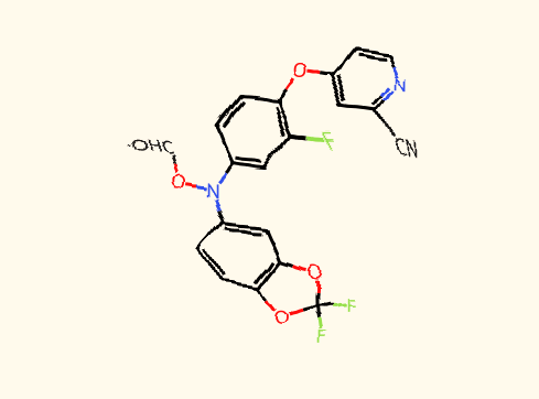 N#Cc1cc(Oc2ccc(N(O[C]=O)c3ccc4c(c3)OC(F)(F)O4)cc2F)ccn1